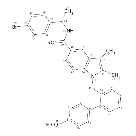 CCOC(=O)c1ccc(-c2ccccc2Cn2c(C)c(C)c3cc(C(=O)N[C@@H](C)c4ccc(Br)cc4)ccc32)cc1